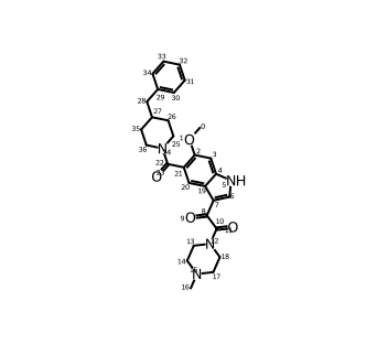 COc1cc2[nH]cc(C(=O)C(=O)N3CCN(C)CC3)c2cc1C(=O)N1CCC(Cc2ccccc2)CC1